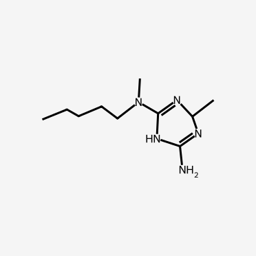 CCCCCN(C)C1=NC(C)N=C(N)N1